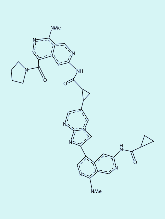 CNc1ncc(C(=O)N2CCCC2)c2cc(NC(=O)C3CC3c3cnc4nc(-c5cnc(NC)c6cnc(NC(=O)C7CC7)cc56)cn4c3)ncc12